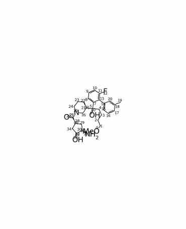 COCCCC[C@@](O)(c1cccc(F)c1-c1cccc(C)c1)[C@@H]1CCCN(C(=O)[C@H]2C[C@@H](N)[C@@H](O)C2)C1